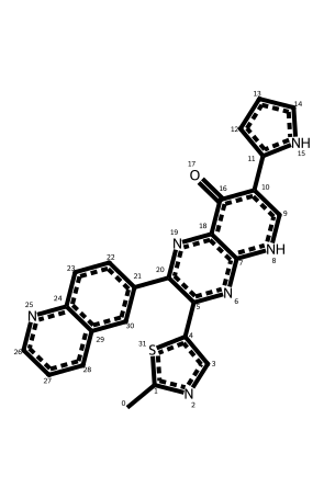 Cc1ncc(-c2nc3[nH]cc(-c4ccc[nH]4)c(=O)c3nc2-c2ccc3ncccc3c2)s1